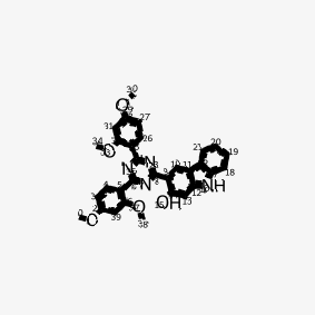 COc1ccc(-c2nc(-c3cc4c(cc3O)[nH]c3ccccc34)nc(-c3ccc(OC)cc3OC)n2)c(OC)c1